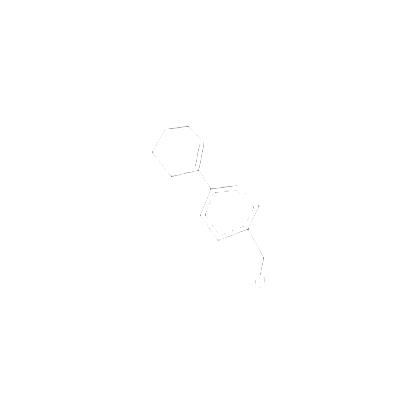 ClCc1ccc(C2=CCCCC2)cc1